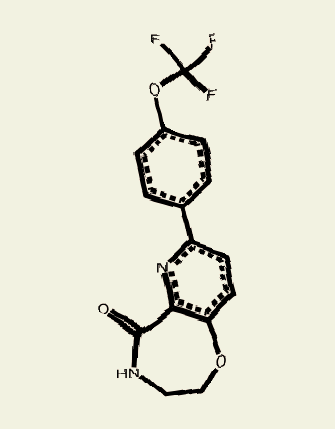 O=C1NCCOc2ccc(-c3ccc(OC(F)(F)F)cc3)nc21